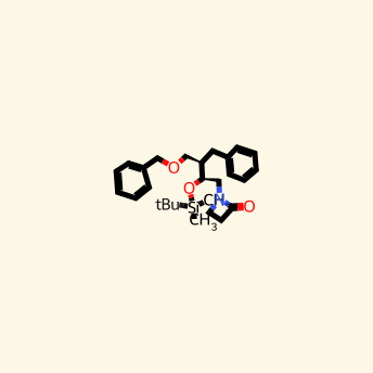 CC(C)(C)[Si](C)(C)O[C@H](CN1CCC1=O)[C@@H](COCc1ccccc1)Cc1ccccc1